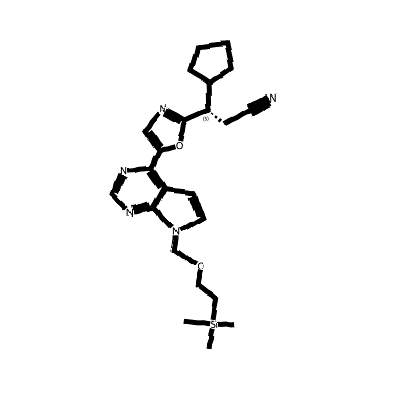 C[Si](C)(C)CCOCn1ccc2c(-c3cnc([C@@H](CC#N)C4CCCC4)o3)ncnc21